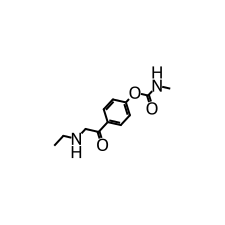 CCNCC(=O)c1ccc(OC(=O)NC)cc1